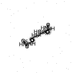 O=C1NC(=O)[C@@H](Nc2ccc(CCNC[C@@H](O)COc3cccc4[nH]c(=O)[nH]c34)cc2)S1